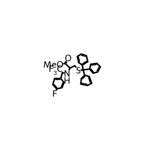 COC(=O)C(CSC(c1ccccc1)(c1ccccc1)c1ccccc1)NC(c1ccc(F)cc1)C(F)(F)F